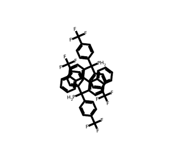 FC(F)(F)c1ccc(C(P)(c2ccc(C(F)(F)F)cc2)c2ccc3ccccc3c2-c2c(C(P)(c3ccc(C(F)(F)F)cc3)c3ccc(C(F)(F)F)cc3)ccc3ccccc23)cc1